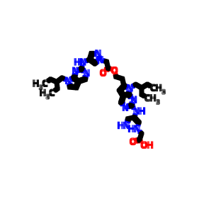 CCC(CC)Cn1ccc2cnc(Nc3cnn(CC(=O)OCCc4cc5cnc(N/C(C=N)=C/NCC(=O)O)nc5n4CC(CC)CC)c3)nc21